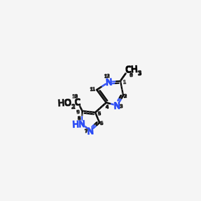 Cc1cnc(-c2cn[nH]c2C(=O)O)cn1